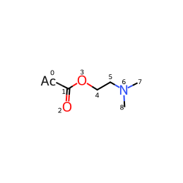 CC(=O)C(=O)OCCN(C)C